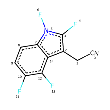 N#CCc1c(F)n(F)c2ccc(F)c(F)c12